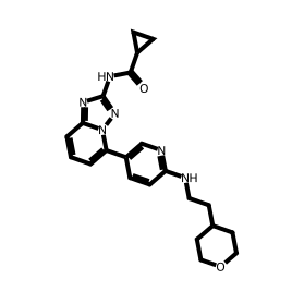 O=C(Nc1nc2cccc(-c3ccc(NCCC4CCOCC4)nc3)n2n1)C1CC1